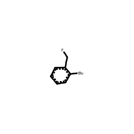 CC(C)(C)c1c[c]ccc1CF